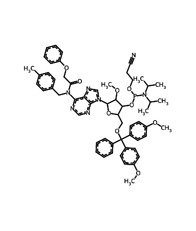 COc1ccc(C(OCC2OC(n3cnc4c(N(Cc5ccc(C)cc5)C(=O)COc5ccccc5)ncnc43)C(OC)C2OP(OCCC#N)N(C(C)C)C(C)C)(c2ccccc2)c2ccc(OC)cc2)cc1